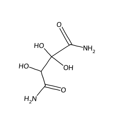 NC(=O)C(O)C(O)(O)C(N)=O